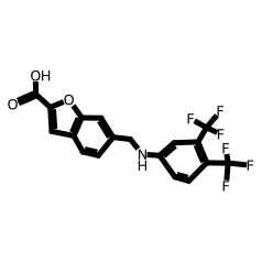 O=C(O)c1cc2ccc(CNc3ccc(C(F)(F)F)c(C(F)(F)F)c3)cc2o1